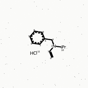 C=CN(Cc1ccccc1)C(C)C.Cl